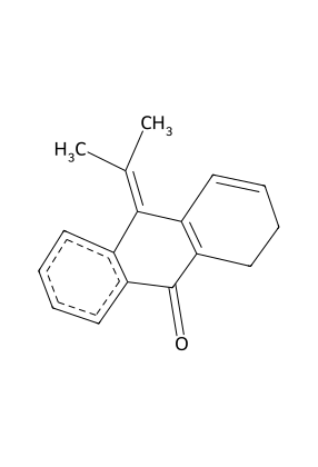 CC(C)=C1C2=C(CCC=C2)C(=O)c2ccccc21